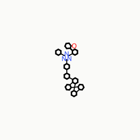 c1ccc(-c2nc(-c3ccc(-c4cccc(-c5cccc6c5-c5ccccc5C65c6ccccc6-c6ccccc65)c4)cc3)nc(-c3cccc4oc5ccccc5c34)n2)cc1